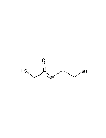 O=C(CS)NCCS